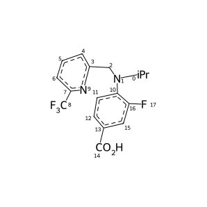 CC(C)N(Cc1cccc(C(F)(F)F)n1)c1ccc(C(=O)O)cc1F